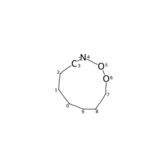 C1CCC[N]OOCCC1